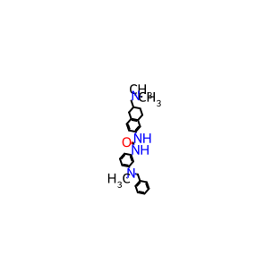 CN(C)CC1CCc2cc(NC(=O)Nc3cccc(N(C)Cc4ccccc4)c3)ccc2C1